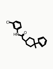 CC1(c2ccccc2)CCC(CC(=O)Nc2cccc(Cl)c2)CC1